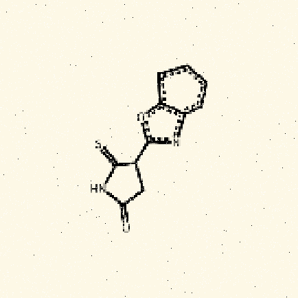 O=C1CC(c2nc3ccccc3o2)C(=S)N1